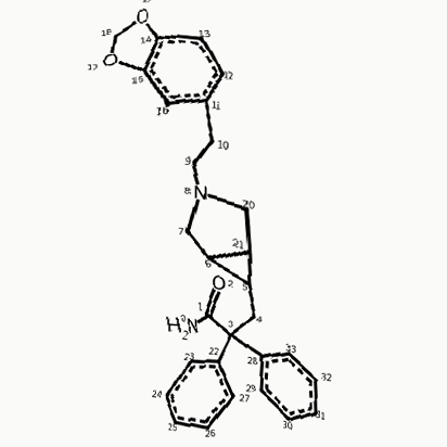 NC(=O)C(CC1C2CN(CCc3ccc4c(c3)OCO4)CC21)(c1ccccc1)c1ccccc1